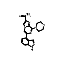 NC(=O)c1cn2cc(-c3cccc4[nH]ncc34)nc(N3CCOCC3)c2n1